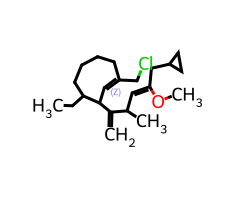 C=C(C(C)C=C(CC1CC1)OC)C1/C=C(\CCl)CCCCC1CC